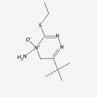 CCSC1=NN=C(C(C)(C)C)C[N+]1(N)[O-]